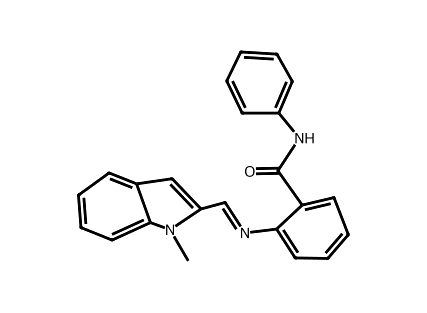 Cn1c(C=Nc2ccccc2C(=O)Nc2ccccc2)cc2ccccc21